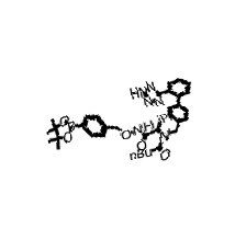 CCCCC(=O)N(Cc1ccc(-c2ccccc2-c2nn[nH]n2)cc1)C(C(=O)NOCc1ccc(B2OC(C)(C)C(C)(C)O2)cc1)C(C)C